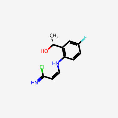 C[C@@H](O)c1cc(F)ccc1N/C=C\C(=N)Cl